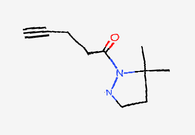 C#CCCC(=O)N1[N]CCC1(C)C